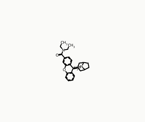 CCN(CC)C(=O)c1ccc2c(c1)Oc1ccccc1C2=C1CC2CCC(C1)N2C